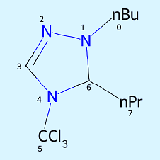 CCCCN1N=CN(C(Cl)(Cl)Cl)C1CCC